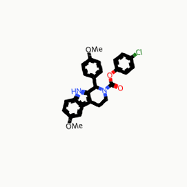 COc1ccc(C2c3[nH]c4ccc(OC)cc4c3CCN2C(=O)Oc2ccc(Cl)cc2)cc1